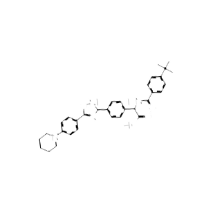 CC(C)(C)c1ccc(C(=O)NC(C(=O)O)c2ccc(C3N=C(c4ccc(N5CCCCC5)cc4)ON3)cc2)cc1